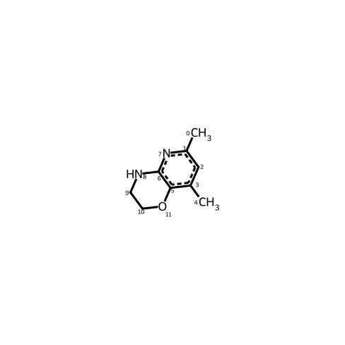 Cc1cc(C)c2c(n1)NCCO2